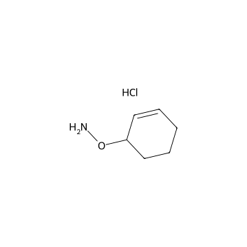 Cl.NOC1C=CCCC1